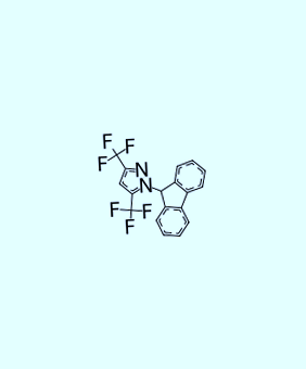 FC(F)(F)c1cc(C(F)(F)F)n(C2c3ccccc3-c3ccccc32)n1